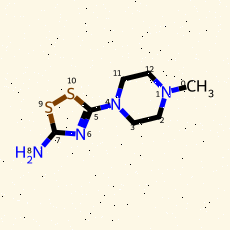 CN1CCN(C2=NC(N)SS2)CC1